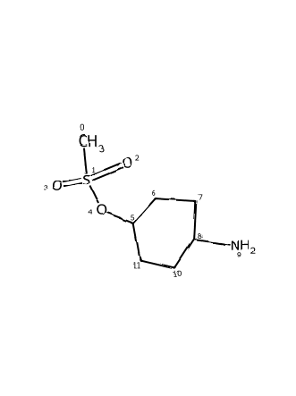 CS(=O)(=O)OC1CCC(N)CC1